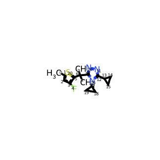 Cc1cc(F)c(C(C)(C)c2nnc(C3CC3)n2C2CC2)s1